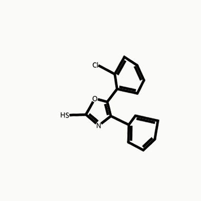 Sc1nc(-c2ccccc2)c(-c2ccccc2Cl)o1